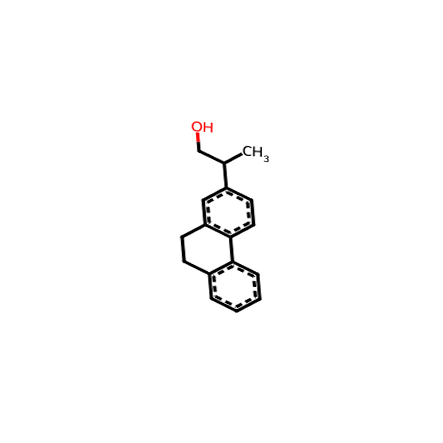 CC(CO)c1ccc2c(c1)CCc1ccccc1-2